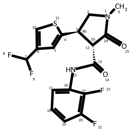 CN1C[C@H](c2cc(C(F)F)cs2)[C@@H](C(=O)Nc2cccc(F)c2F)C1=O